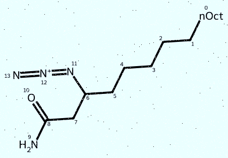 CCCCCCCCCCCCCC(CC(N)=O)N=[N+]=[N-]